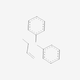 C=CC[S-].c1cc[c]([Sb+][c]2ccccc2)cc1